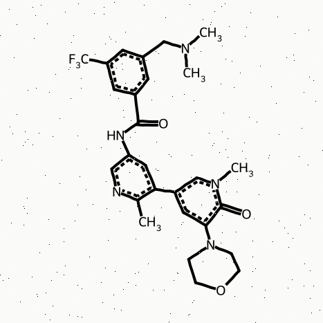 Cc1ncc(NC(=O)c2cc(CN(C)C)cc(C(F)(F)F)c2)cc1-c1cc(N2CCOCC2)c(=O)n(C)c1